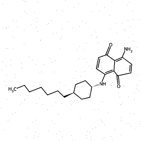 CCCCCCC[C@H]1CC[C@H](NC2=C3C(=O)C=CC(N)=C3C(=O)C=C2)CC1